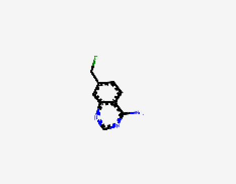 Nc1ncnc2cc(CCl)ccc12